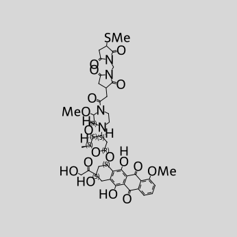 COc1cccc2c1C(=O)c1c(O)c3c(c(O)c1C2=O)C[C@@](O)(C(=O)CO)C[C@@H]3O[C@H]1C[C@H]2[C@H](O[C@@H]3C(OC)N(C(=O)CC4CC(=O)N(CN5C(=O)CC(SC)C5=O)C4=O)CCN32)[C@H](C)O1